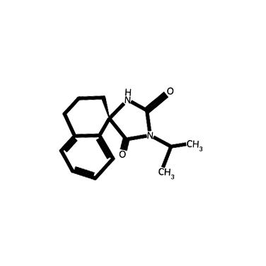 CC(C)N1C(=O)N[C@]2(CCCc3ccccc32)C1=O